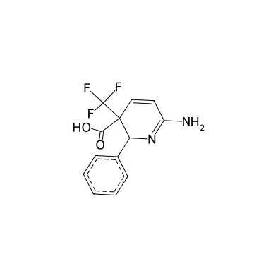 NC1=NC(c2ccccc2)C(C(=O)O)(C(F)(F)F)C=C1